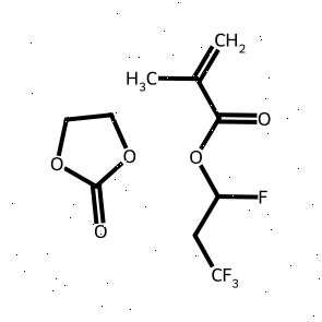 C=C(C)C(=O)OC(F)CC(F)(F)F.O=C1OCCO1